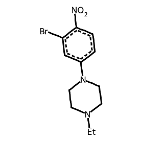 CCN1CCN(c2ccc([N+](=O)[O-])c(Br)c2)CC1